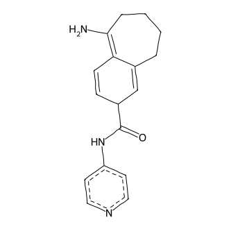 NC1=C2C=CC(C(=O)Nc3ccncc3)C=C2CCCC1